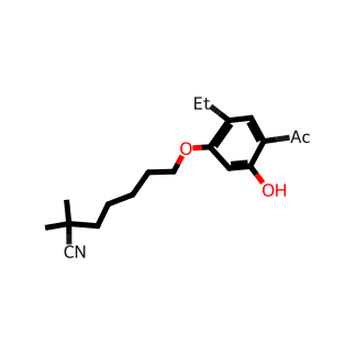 CCc1cc(C(C)=O)c(O)cc1OCCCCCC(C)(C)C#N